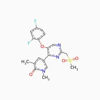 Cc1cc(-c2nc(CS(C)(=O)=O)ncc2Oc2ccc(F)cc2F)cn(C)c1=O